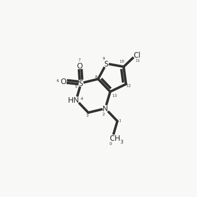 CCN1CNS(=O)(=O)c2sc(Cl)cc21